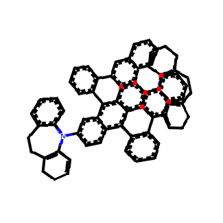 C1=CC2=C(CC1)CCC1=C(C=CCC1)N2c1ccc2c(-c3ccccc3-c3ccc4ccccc4c3)c3cc(N4C5=C(CCC=C5)CCc5ccccc54)ccc3c(-c3ccccc3-c3ccc4ccccc4c3)c2c1